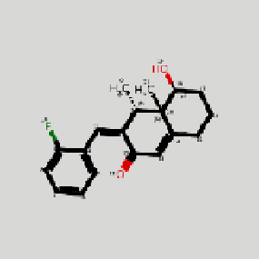 C[C@H]1C(=Cc2ccccc2F)C(=O)C=C2CCC[C@H](O)[C@]21C